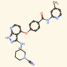 Cc1ccnc(NC(=O)c2ccc(Oc3ccnc4[nH]nc(N[C@@H]5CCCN(C#N)C5)c34)cc2)c1